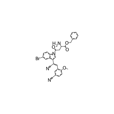 COc1ccc(C#N)cc1/C=C(\C#N)c1cn(C(=O)CC(N)C(=O)OCc2ccccc2)c2ccc(Br)cc12